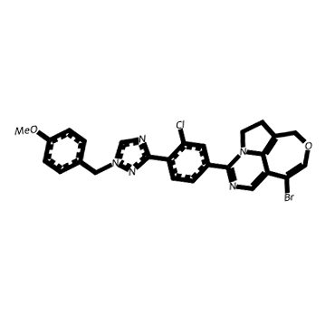 COc1ccc(Cn2cnc(-c3ccc(C4=NC=C5C(Br)=COCC6=C5N4CC6)cc3Cl)n2)cc1